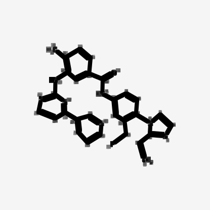 C=Cc1nccn1-c1ccc(NC(=O)c2ccc(C)c(Nc3nccc(-c4cccnc4)n3)c2)cc1CF